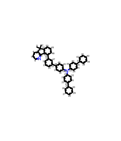 CC1(C)c2cccnc2-c2c(-c3cccc(-c4ccc(N(c5ccc(-c6ccccc6)cc5)c5ccc(-c6ccccc6)cc5)cc4)c3)cccc21